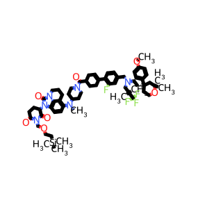 COc1ccc([C@]2(CCN(Cc3ccc(C4=CCC(C(=O)N5CCC(N(C)c6ccc7c8c6CCCn8c(=O)n7C6CCC(=O)N(COCC[Si](C)(C)C)C6=O)CC5)CC4)c(F)c3)CC(C)(C)C(F)(F)F)CCOC(C)(C)C2)cc1